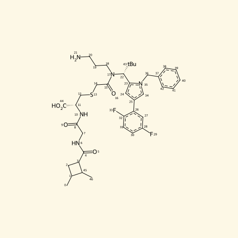 CC1CC(C(=O)NCC(=O)N[C@@H](CSCC(=O)N(CCCN)[C@@H](c2cc(-c3cc(F)ccc3F)cn2Cc2ccccc2)C(C)(C)C)C(=O)O)C1C